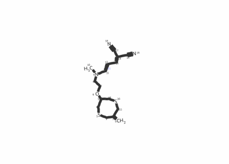 C=C1CSCC(OCCN(C)/C=C/C=C(C#N)C#N)CSC1